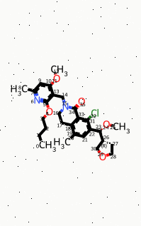 CCCCOc1nc(C)cc(OC)c1CN1CCc2c(C)cc([C@H](OC)[C@@H]3CCOC3)c(Cl)c2C1=O